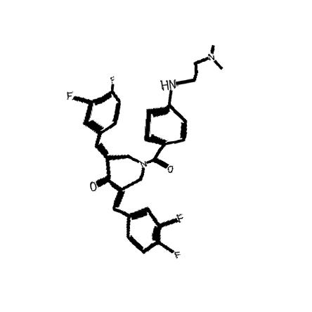 CN(C)CCNc1ccc(C(=O)N2C/C(=C\c3ccc(F)c(F)c3)C(=O)/C(=C/c3ccc(F)c(F)c3)C2)cc1